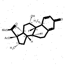 CSC(=O)[C@@]1(OC(C)=O)[C@@H](C)C[C@H]2[C@@H]3CCC4=CC(=O)C=C[C@]4(C)[C@@]3(F)[C@@H](O)C[C@@]21C